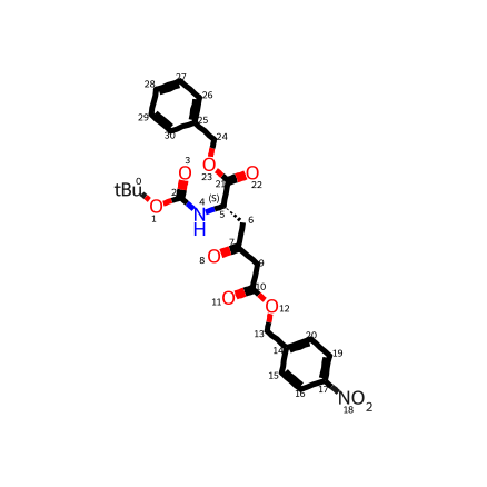 CC(C)(C)OC(=O)N[C@@H](CC(=O)CC(=O)OCc1ccc([N+](=O)[O-])cc1)C(=O)OCc1ccccc1